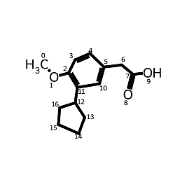 COc1ccc(CC(=O)O)cc1C1CCCC1